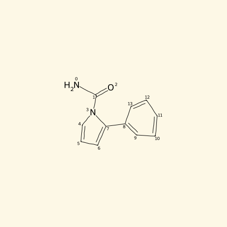 NC(=O)n1cccc1-c1ccccc1